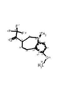 C=[N+]1CC(C(=O)C(F)(F)F)CCc2nc(OC)ccc21